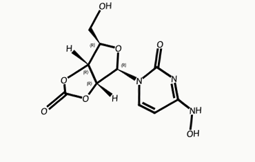 O=C1O[C@@H]2[C@H](O1)[C@@H](CO)O[C@H]2n1ccc(NO)nc1=O